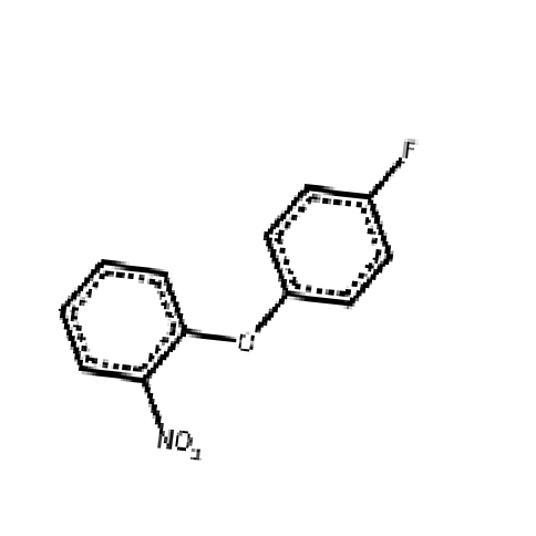 O=[N+]([O-])c1ccccc1Oc1ccc(F)cc1